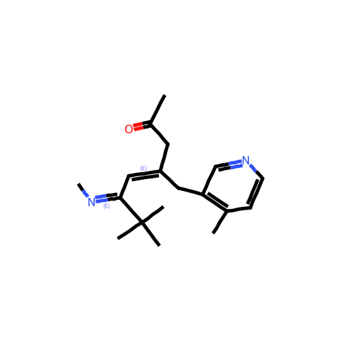 C/N=C(\C=C(\CC(C)=O)Cc1cnccc1C)C(C)(C)C